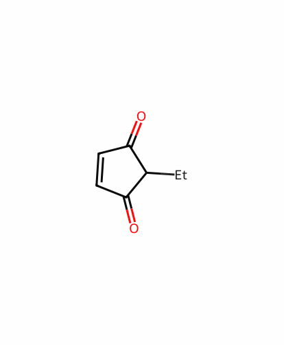 CCC1C(=O)C=CC1=O